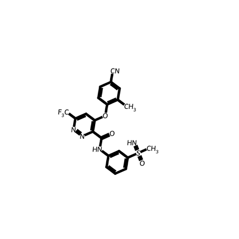 Cc1cc(C#N)ccc1Oc1cc(C(F)(F)F)nnc1C(=O)Nc1cccc(S(C)(=N)=O)c1